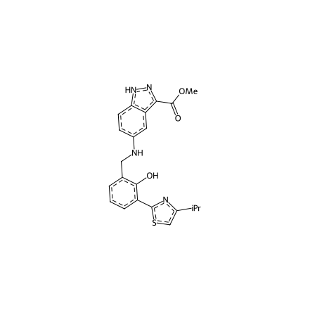 COC(=O)c1n[nH]c2ccc(NCc3cccc(-c4nc(C(C)C)cs4)c3O)cc12